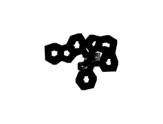 [Cl][Ti]([Cl])([c]1cccc2c1Cc1ccccc1-2)([CH]1C=Cc2ccccc21)=[Si](c1ccccc1)c1ccccc1